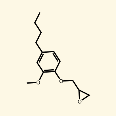 CCCCc1ccc(OCC2CO2)c(OC)c1